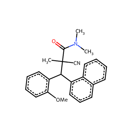 COc1ccccc1C(c1cccc2ccccc12)C(C)(C#N)C(=O)N(C)C